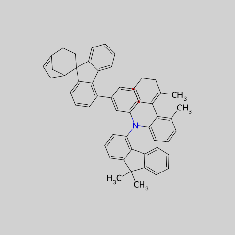 CC1=C(c2c(C)cccc2N(c2cccc(-c3cccc4c3-c3ccccc3C43CCC4=CCC3C4)c2)c2cccc3c2-c2ccccc2C3(C)C)C=CCC1